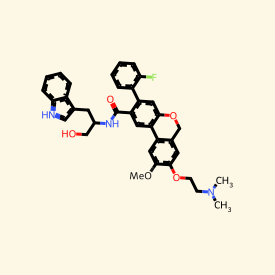 COc1cc2c(cc1OCCN(C)C)COc1cc(-c3ccccc3F)c(C(=O)NC(CO)Cc3c[nH]c4ccccc34)cc1-2